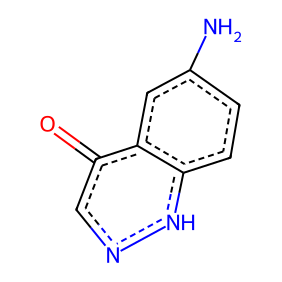 Nc1ccc2[nH]ncc(=O)c2c1